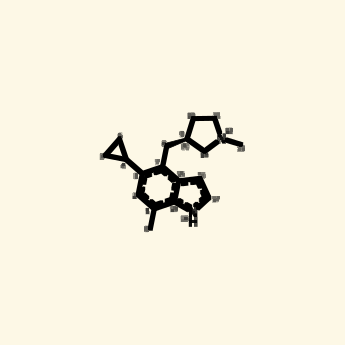 Cc1cc(C2CC2)c(C[C@H]2CCN(C)C2)c2cc[nH]c12